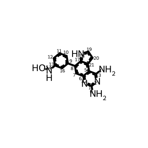 Nc1nc(N)c2c(cc(-c3cccc(NO)c3)c3[nH]ccc32)n1